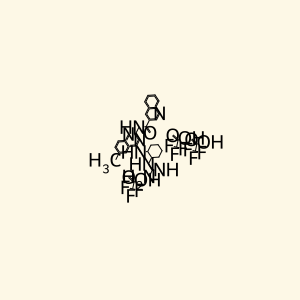 Cc1ccc2nc(NC(=O)c3cnc4ccccc4c3)nc(NC3CCCCC3NC(=N)N)c2c1.O=C(O)C(F)(F)F.O=C(O)C(F)(F)F.O=C(O)C(F)(F)F